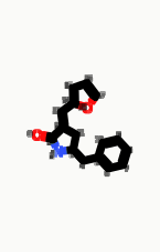 O=C1[N]C(Cc2ccccc2)CC1=Cc1ccco1